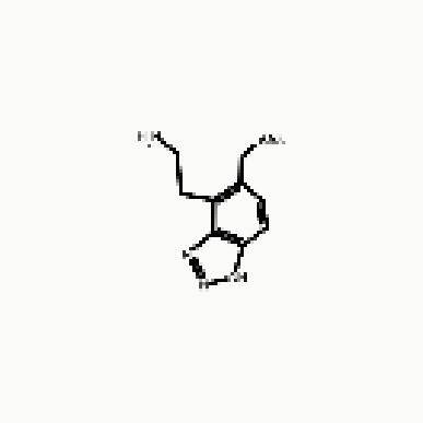 CCCCCCCCCc1ccc2[nH]nnc2c1CCN